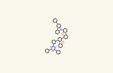 c1ccc(-c2ccc3c(c2)c2ccccc2n3-c2cccc3c2oc2c(-c4ccc(-c5cccc(-c6nc(-c7ccccc7)nc(-c7ccccc7)n6)c5)c5c4oc4ccccc45)cccc23)cc1